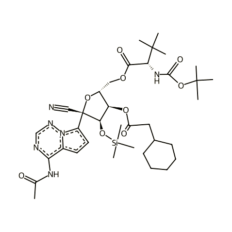 CC(=O)Nc1ncnn2c([C@]3(C#N)O[C@H](COC(=O)[C@@H](NC(=O)OC(C)(C)C)C(C)(C)C)[C@@H](OC(=O)CC4CCCCC4)[C@H]3O[Si](C)(C)C)ccc12